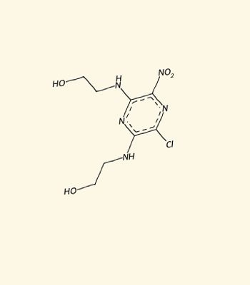 O=[N+]([O-])c1nc(Cl)c(NCCO)nc1NCCO